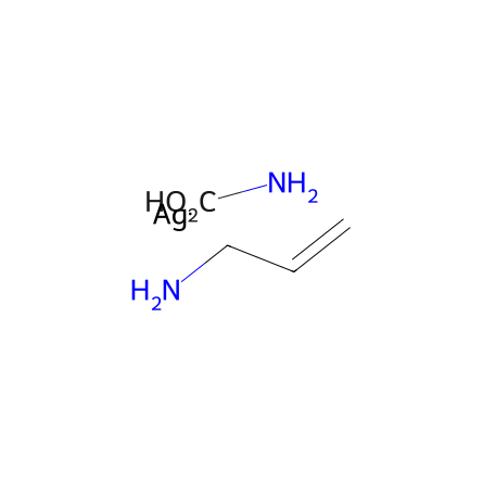 C=CCN.NC(=O)O.[Ag]